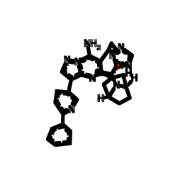 Nc1c(C2CC2)c([C@]2(O)C[C@H]3CC[C@@H](C2)N3C(=O)c2nnc[nH]2)nc2c(-c3ccc(-c4ccccc4)nc3)cnn12